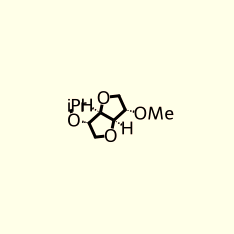 CO[C@H]1CO[C@H]2[C@@H]1OC[C@@H]2OC(C)C